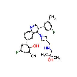 Cc1cc(F)cc(-c2cnc3ccc(-c4cc(F)cc(C#N)c4O)cc3c2N2CC(CNCC(C)(C)O)C2)c1